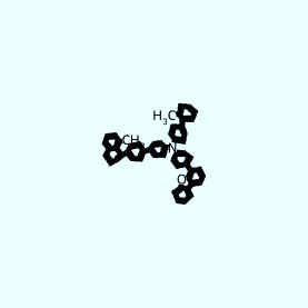 Cc1ccccc1-c1ccc(N(c2ccc(-c3ccc(-c4cccc5cccc(C)c45)cc3)cc2)c2ccc(-c3cccc4c3oc3ccccc34)cc2)cc1